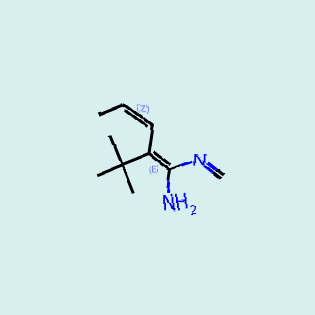 C=N/C(N)=C(\C=C/C)C(C)(C)C